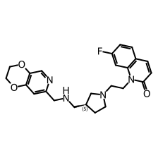 O=c1ccc2ccc(F)cc2n1CCN1CC[C@@H](CNCc2cc3c(cn2)OCCO3)C1